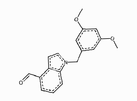 COc1cc(Cn2ccc3c(C=O)cccc32)cc(OC)c1